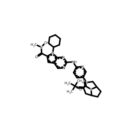 CN(C)C(=O)c1cc2cnc(Nc3ccc(N4CC5CCC(CC4=O)N5C(=O)OC(C)(C)C)cn3)nc2n1C1CCCCC1